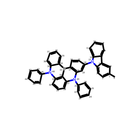 Cc1ccc2c(c1)c1ccccc1n2-c1ccc2c(c1)N(c1ccccc1)c1cccc3c1B2c1ccccc1N3c1ccccc1